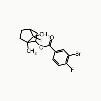 CC1(I)C2CCC1(C)C(OC(=O)c1ccc(F)c(Br)c1)C2